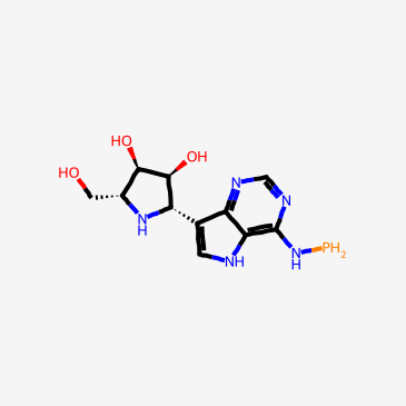 OC[C@H]1N[C@@H](c2c[nH]c3c(NP)ncnc23)[C@H](O)[C@@H]1O